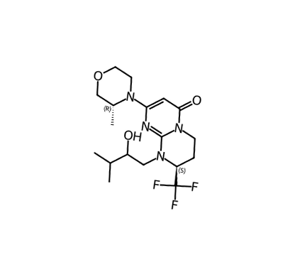 CC(C)C(O)CN1c2nc(N3CCOC[C@H]3C)cc(=O)n2CC[C@H]1C(F)(F)F